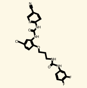 N#Cc1ccc(NC(=O)Nc2cc(Cl)ccc2OCCCNC(=O)Nc2ccc(F)c(F)c2)nc1